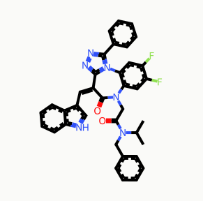 CC(C)N(Cc1ccccc1)C(=O)CN1C(=O)C(=Cc2c[nH]c3ccccc23)c2nnc(-c3ccccc3)n2-c2cc(F)c(F)cc21